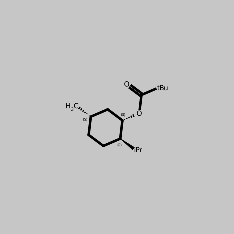 CC(C)[C@H]1CC[C@H](C)C[C@@H]1OC(=O)C(C)(C)C